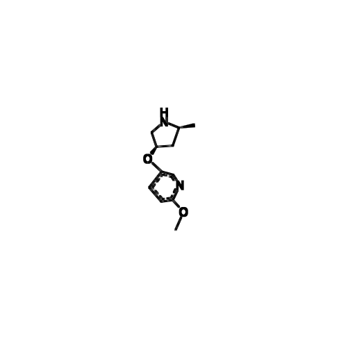 COc1ccc(O[C@H]2CN[C@@H](C)C2)cn1